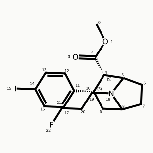 COC(=O)[C@@H]1C2CCC(C[C@@H]1c1ccc(I)cc1)N2CCCF